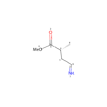 COC(=O)[C@H](C)CC=N